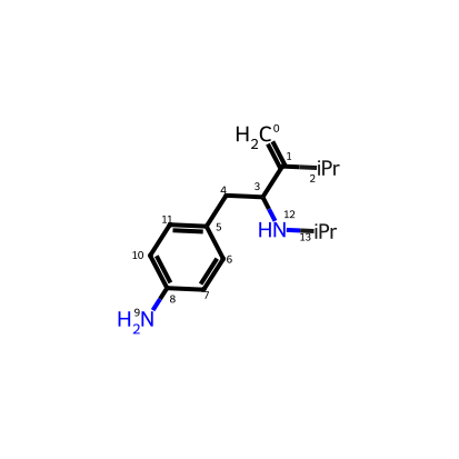 C=C(C(C)C)C(Cc1ccc(N)cc1)NC(C)C